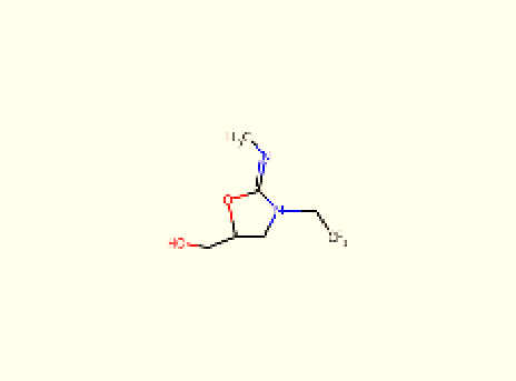 C/N=C1\OC(CO)CN1CC(F)(F)F